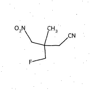 CC(CF)(CC#N)C[N+](=O)[O-]